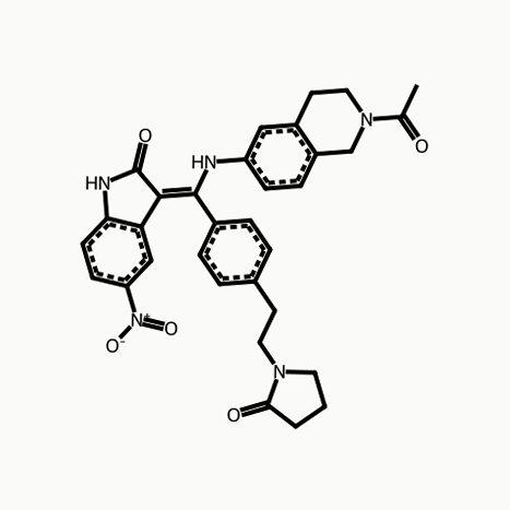 CC(=O)N1CCc2cc(NC(=C3C(=O)Nc4ccc([N+](=O)[O-])cc43)c3ccc(CCN4CCCC4=O)cc3)ccc2C1